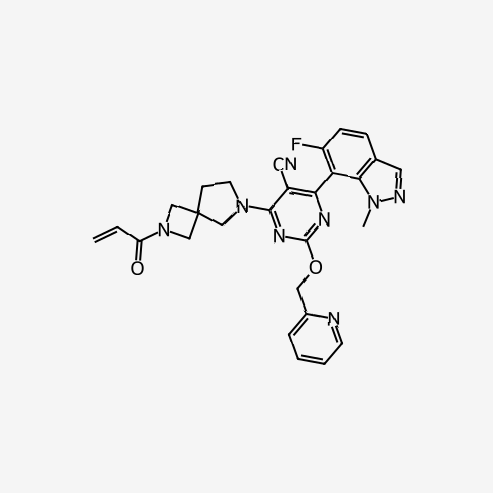 C=CC(=O)N1CC2(CCN(c3nc(OCc4ccccn4)nc(-c4c(F)ccc5cnn(C)c45)c3C#N)C2)C1